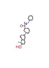 Cc1c(O)ccc2cc(-c3cccc(C(=O)N(C)Cc4ccccc4)c3)ccc12